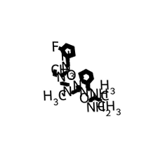 CCN(CCN(C)Cc1nc(N[C@H](C(N)=O)C(C)C)c2ccccc2n1)C(=O)NCc1cccc(F)c1